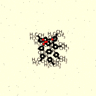 CC(C)(C)c1ccc(N2c3cc4c(cc3B3c5cc(C(C)(C)C)ccc5Oc5cc(C(C)(C)C)cc2c53)B2c3cc5c(cc3N(c3ccc(C(C)(C)C)cc3)c3cc(C(C)(C)C)cc(c32)N4c2ccc(C(C)(C)C)cc2)Oc2cc(C(C)(C)C)cc3c2B5c2cc(C(C)(C)C)ccc2O3)cc1